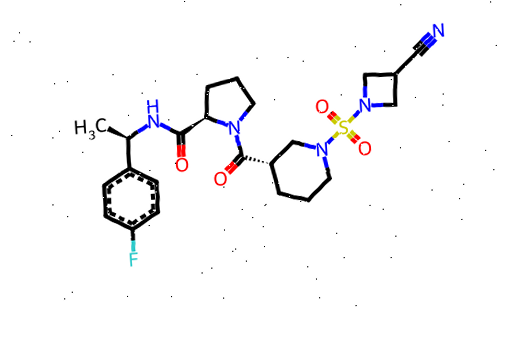 C[C@@H](NC(=O)[C@H]1CCCN1C(=O)[C@H]1CCCN(S(=O)(=O)N2CC(C#N)C2)C1)c1ccc(F)cc1